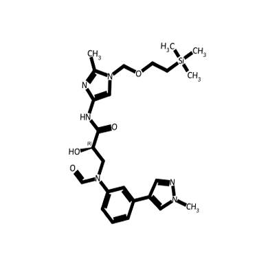 Cc1nc(NC(=O)[C@H](O)CN(C=O)c2cccc(-c3cnn(C)c3)c2)cn1COCC[Si](C)(C)C